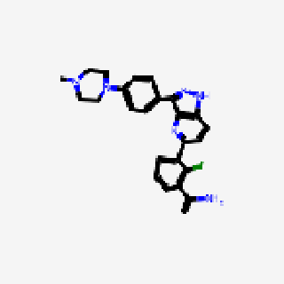 C=C(N)c1cccc(-c2ccc3[nH]nc(-c4ccc(N5CCN(C)CC5)cc4)c3n2)c1F